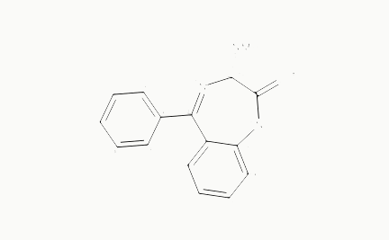 CN[C@H]1N=C(c2ccccc2)c2ccccc2NC1=O